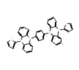 c1coc(N2c3ccccc3B(c3ccc(B4c5ccccc5N(c5ccco5)c5ccccc54)cc3)c3ccccc32)c1